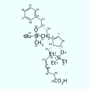 CC[Si](CC)(CC)O[C@H]1CC=C(CC[C@@H](Cc2ccccc2)O[Si](C)(C)C(C)(C)C)[C@H]1CCC=C=CCC(=O)O